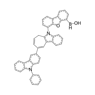 OBc1cccc2c1oc1c(-n3c4c(c5ccccc53)C=C(c3ccc5c(c3)c3ccccc3n5-c3ccccc3)C=CC4)cccc12